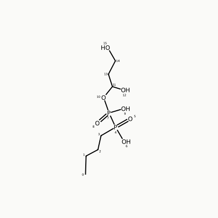 CCCCP(=O)(O)P(=O)(O)OC(O)CCO